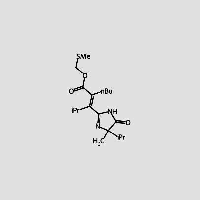 CCCC/C(C(=O)OCSC)=C(\C1=NC(C)(C(C)C)C(=O)N1)C(C)C